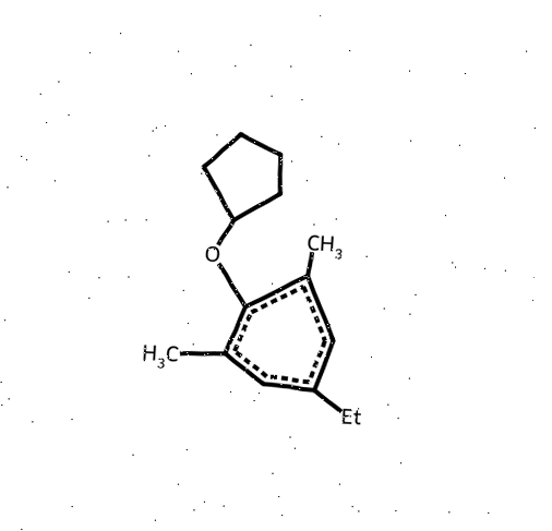 [CH2]Cc1cc(C)c(OC2CCCC2)c(C)c1